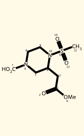 COC(=O)CC1CN(C(=O)O)CCN1S(C)(=O)=O